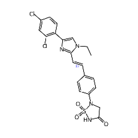 CCn1cc(-c2ccc(Cl)cc2Cl)nc1/C=C/c1ccc(N2CC(=O)NS2(=O)=O)cc1